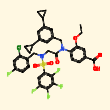 CCOc1cc(C(=O)O)ccc1N(Cc1cc(C2CC2)cc(C2CC2)c1)C(=O)CN(Cc1ccc(F)cc1Cl)S(=O)(=O)c1cc(F)c(F)c(F)c1F